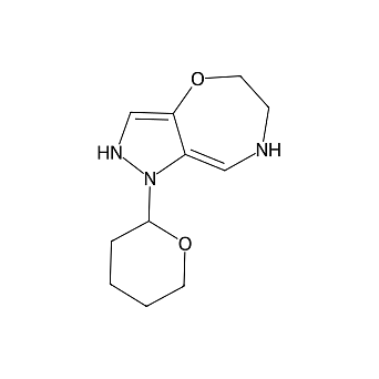 C1=C2OCCNC=C2N(C2CCCCO2)N1